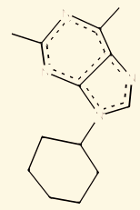 Cc1nc(F)nc2c1ncn2C1CCCCC1